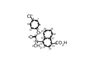 CN(C(=O)Oc1ccc(Cl)cc1)c1ccc(C(=O)O)c2ccccc12